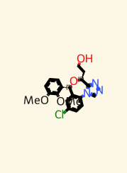 COc1cccc([C@@H]2O[C@@H](CCO)c3nncn3-c3ccc(Cl)cc32)c1OC